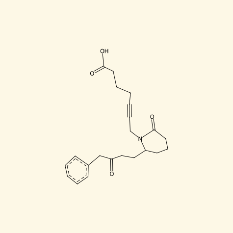 O=C(O)CCCC#CCN1C(=O)CCCC1CCC(=O)Cc1ccccc1